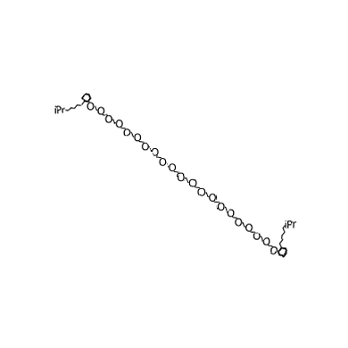 CC(C)CCCCCc1ccccc1OCCOCCOCCOCCOCCOCCOCCOCCOCCOCCOCCOCCOCCOCCOCCOCCOCCOCCOCCOCCOc1ccccc1CCCCCC(C)C